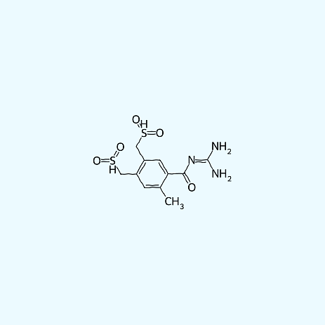 Cc1cc(C[SH](=O)=O)c(C[SH](=O)=O)cc1C(=O)N=C(N)N